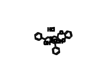 Cl.OC(CN(CC(O)c1ccccc1)CC1(O)COc2ccccc2OC1)c1ccccc1